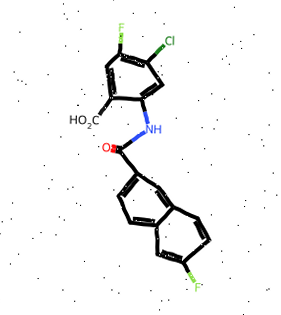 O=C(Nc1cc(Cl)c(F)cc1C(=O)O)c1ccc2cc(F)ccc2c1